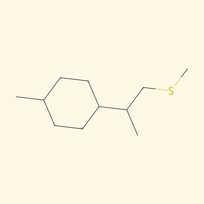 CSCC(C)C1CCC(C)CC1